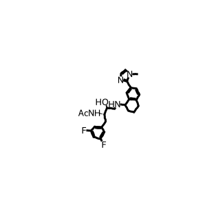 CC(=O)N[C@@H](Cc1cc(F)cc(F)c1)[C@@H](O)CNC1CCCc2ccc(-c3nccn3C)cc21